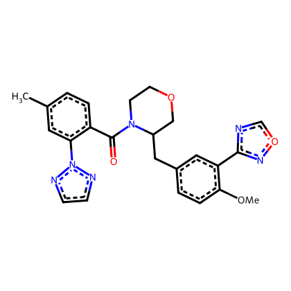 COc1ccc(CC2COCCN2C(=O)c2ccc(C)cc2-n2nccn2)cc1-c1ncon1